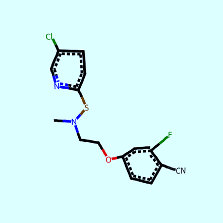 CN(CCOc1ccc(C#N)c(F)c1)Sc1ccc(Cl)cn1